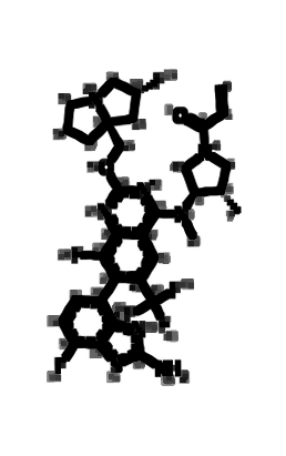 C=CC(=O)N1C[C@H](C)[C@@H](N(C)c2nc(OC[C@@]34CCCN3C[C@H](F)C4)nc3c(F)c(-c4ccc(F)c5sc(N)nc45)c(C(F)(F)F)cc23)C1